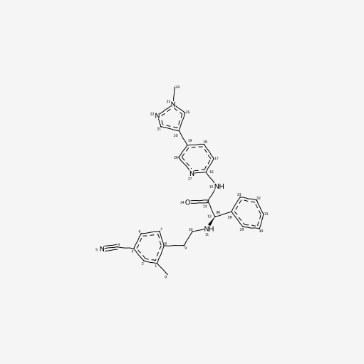 Cc1cc(C#N)ccc1CCN[C@@H](C(=O)Nc1ccc(-c2cnn(C)c2)cn1)c1ccccc1